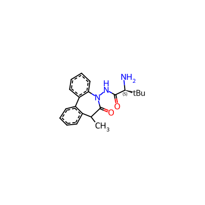 CC1C(=O)N(NC(=O)[C@@H](N)C(C)(C)C)c2ccccc2-c2ccccc21